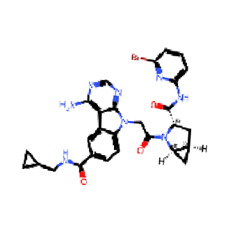 Nc1ncnc2c1c1cc(C(=O)NCC3CC3)ccc1n2CC(=O)N1[C@@H]2C[C@@H]2C[C@H]1C(=O)Nc1cccc(Br)n1